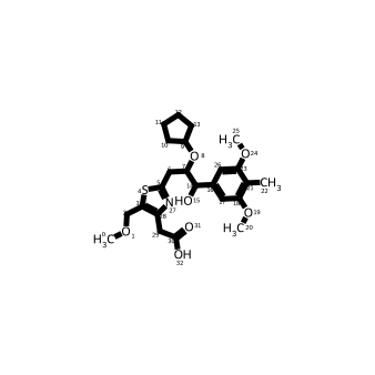 COCc1sc(CC(OC2CCCC2)C(O)c2cc(OC)c(C)c(OC)c2)nc1CC(=O)O